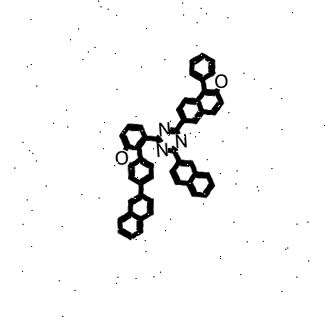 c1ccc2cc(-c3ccc4c(c3)oc3cccc(-c5nc(-c6ccc7ccccc7c6)nc(-c6ccc7c(ccc8oc9ccccc9c87)c6)n5)c34)ccc2c1